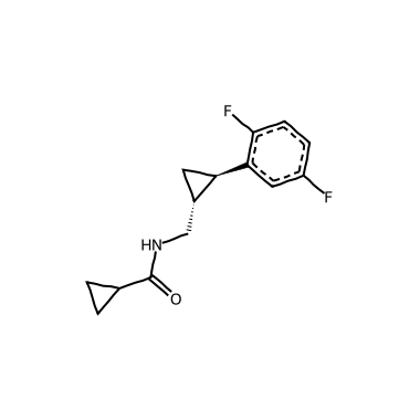 O=C(NC[C@@H]1C[C@H]1c1cc(F)ccc1F)C1CC1